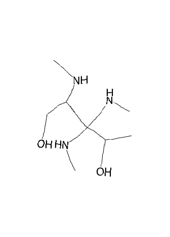 CNC(CO)C(NC)(NC)C(C)O